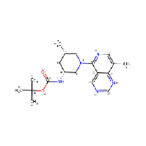 Cc1cnc(N2C[C@@H](C)C[C@@H](NC(=O)OC(C)(C)C)C2)c2cncnc12